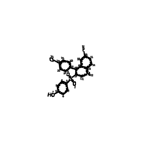 O=S(=O)(c1ccc(O)cc1)c1cnc2ccc(F)cc2c1-c1ccc(Cl)cc1